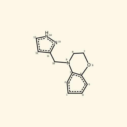 c1ccc2c(c1)OCCN2Cc1cc[nH]n1